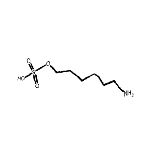 NCCCCCCOS(=O)(=O)O